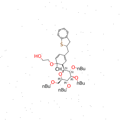 CCCCOC[C@H]1O[C@@H](C2C=C(CC3Cc4ccccc4S3)C=CC2(C)OCCO)[C@H](OCCCC)[C@@H](OCCCC)[C@@H]1OCCCC